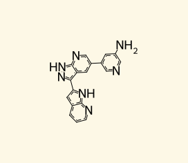 Nc1cncc(-c2cnc3[nH]nc(-c4cc5cccnc5[nH]4)c3c2)c1